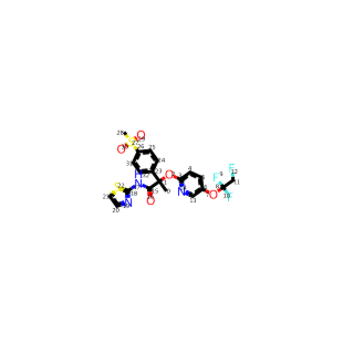 CC(Oc1ccc(OC(F)(F)CF)cn1)(C(=O)Nc1nccs1)c1ccc(S(C)(=O)=O)cc1